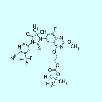 COc1nc(OCCOC(=O)OC(C)(C)C)c2cc(N3C(=S)N(c4cnc(C#N)c(C(F)(F)F)c4)C(=O)C3(C)C)cc(F)c2n1